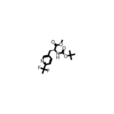 COC(=O)[C@H](Cc1ccc(C(C)(F)F)nc1)NC(=O)OC(C)(C)C